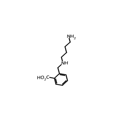 NCCCCNCc1ccccc1C(=O)O